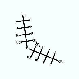 FC(F)(F)C(F)(F)C(F)(F)C(F)(Br)C(OC(C(F)(F)F)(C(F)(F)F)C(F)(Br)C(F)(F)C(F)(F)C(F)(F)F)(C(F)(F)F)C(F)(F)F